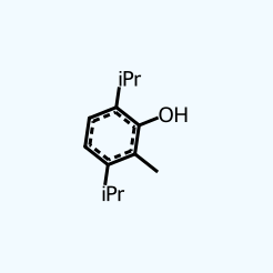 Cc1c(C(C)C)ccc(C(C)C)c1O